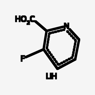 O=C(O)c1ncccc1F.[LiH]